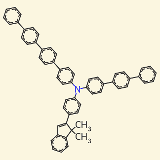 CC1(C)C(c2ccc(N(c3ccc(-c4ccc(-c5ccccc5)cc4)cc3)c3ccc(-c4ccc(-c5ccc(-c6ccccc6)cc5)cc4)cc3)cc2)=Cc2ccccc21